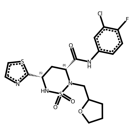 O=C(Nc1ccc(F)c(Cl)c1)[C@H]1C[C@@H](c2nccs2)NS(=O)(=O)N1CC1CCCO1